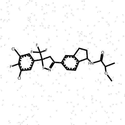 COC(C)C(=O)NC1CCc2cc(C3=NSC(c4cc(Cl)c(F)c(Cl)c4)(C(F)(F)F)C3)ccc21